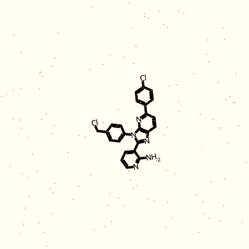 Nc1ncccc1-c1nc2ccc(-c3ccc(Cl)cc3)nc2n1-c1ccc(CCl)cc1